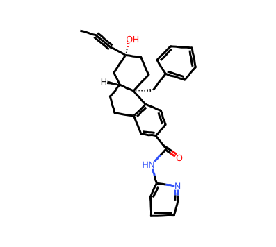 CC#C[C@@]1(O)CC[C@@]2(Cc3ccccc3)c3ccc(C(=O)Nc4ccccn4)cc3CC[C@@H]2C1